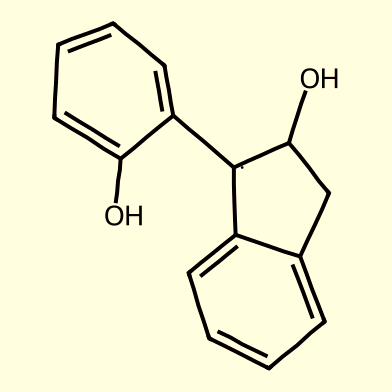 Oc1ccccc1[C]1c2ccccc2CC1O